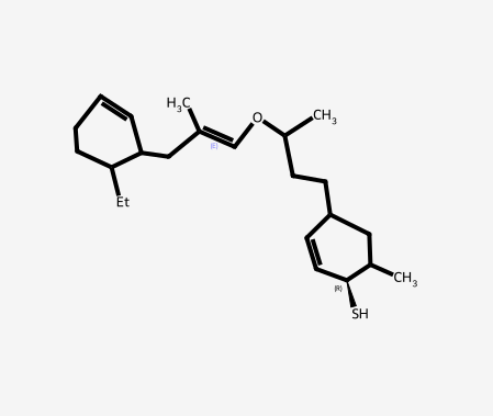 CCC1CCC=CC1C/C(C)=C/OC(C)CCC1C=C[C@H](S)C(C)C1